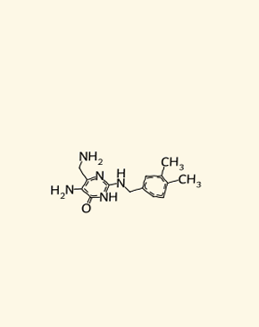 Cc1ccc(CNc2nc(CN)c(N)c(=O)[nH]2)cc1C